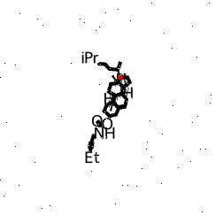 CCC#CCNC(=O)OC1CC[C@@]2(C)C(=CC[C@H]3[C@@H]4CC[C@H](C(C)CCCC(C)C)[C@@]4(C)CC[C@@H]32)C1